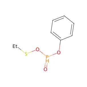 CCSO[PH](=O)Oc1ccccc1